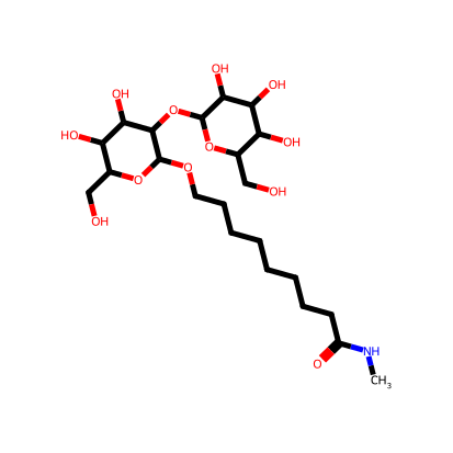 CNC(=O)CCCCCCCCOC1OC(CO)C(O)C(O)C1OC1OC(CO)C(O)C(O)C1O